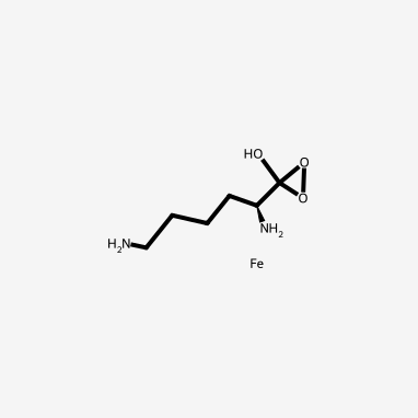 NCCCC[C@H](N)C1(O)OO1.[Fe]